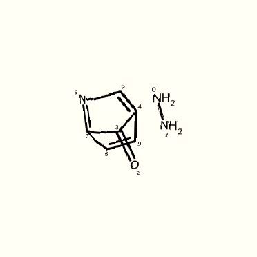 NN.O=C1C2=CN=C1C=C2